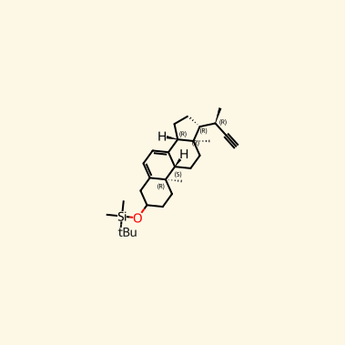 C#C[C@H](C)[C@H]1CC[C@H]2C3=CC=C4CC(O[Si](C)(C)C(C)(C)C)CC[C@]4(C)[C@H]3CC[C@]12C